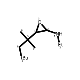 CCNC1OC1C(C)(C)CC(C)(C)C